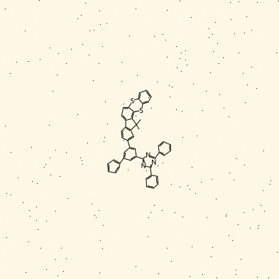 CC1(C)c2cc(-c3cc(-c4ccccc4)cc(-c4nc(-c5ccccc5)nc(-c5ccccc5)n4)c3)ccc2-c2ccc3c(c21)Sc1ccccc1S3